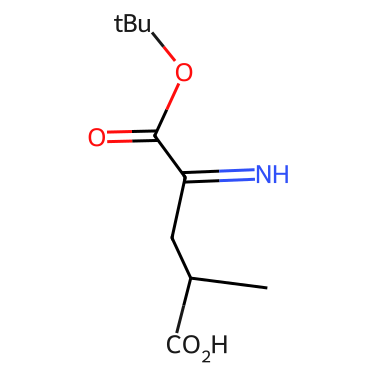 CC(CC(=N)C(=O)OC(C)(C)C)C(=O)O